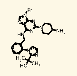 CC(C)n1cnc2c(NCc3ccccc3-n3ccnc3C(C)(C)O)nc(N3CCC(N)CC3)nc21